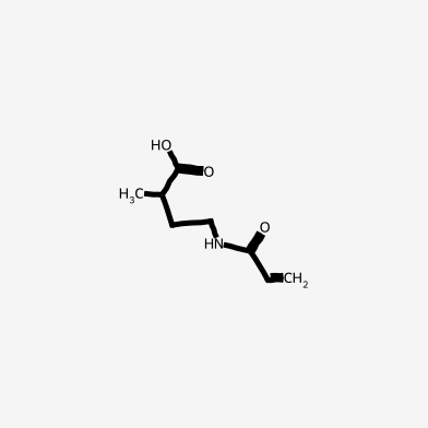 C=CC(=O)NCCC(C)C(=O)O